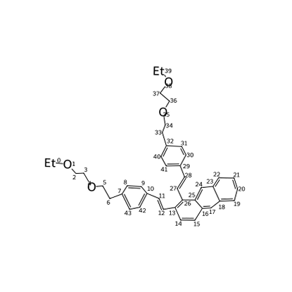 CCOCCOCCc1ccc(C=Cc2ccc3cc4ccccc4cc3c2C=Cc2ccc(CCOCCOCC)cc2)cc1